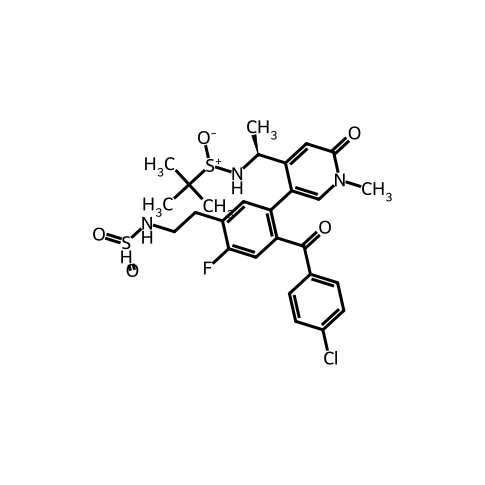 C[C@H](N[S+]([O-])C(C)(C)C)c1cc(=O)n(C)cc1-c1cc(CCN[SH](=O)=O)c(F)cc1C(=O)c1ccc(Cl)cc1